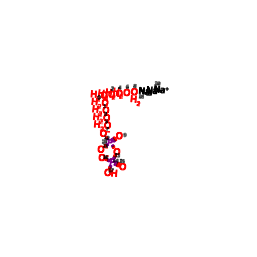 O.O.O.O.O.O.O.O.O.O=P([O-])([O-])OP(=O)([O-])O.[Na+].[Na+].[Na+]